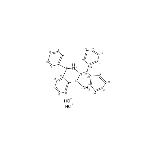 Cl.Cl.NCC(NC(c1ccccc1)c1ccccc1)C(c1ccccc1)c1ccccc1